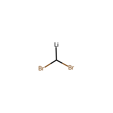 [Li][CH](Br)Br